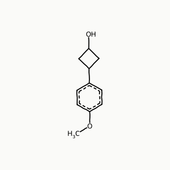 COc1ccc(C2CC(O)C2)cc1